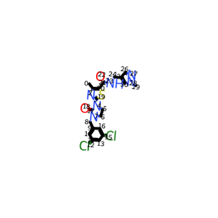 Cc1nc(N2CCN(Cc3cc(Cl)cc(Cl)c3)C2=O)sc1C(=O)NCc1cnn(C)c1